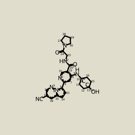 N#Cc1cnn2c(-c3cc(NC45CCC(O)(CC4)CC5)c(C(=O)NCC(=O)N4CCCC4)cn3)ccc2c1